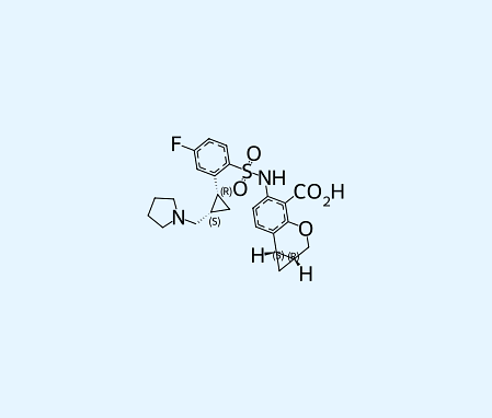 O=C(O)c1c(NS(=O)(=O)c2ccc(F)cc2[C@@H]2C[C@@H]2CN2CCCC2)ccc2c1OC[C@@H]1C[C@H]21